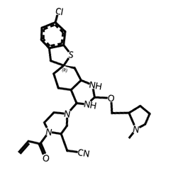 C=CC(=O)N1CCN(C2NC(OCC3CCCN3C)NC3C[C@@]4(CCC32)Cc2ccc(Cl)cc2S4)CC1CC#N